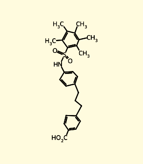 Cc1c(C)c(C)c(S(=O)(=O)Nc2ccc(CCCc3ccc(C(=O)O)cc3)cc2)c(C)c1C